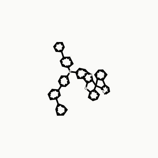 c1ccc(-c2ccc(N(c3ccc(-c4cccc(-c5ccccc5)c4)cc3)c3ccc4sc5c(c4c3)Oc3ccccc3C53c4ccccc4-c4ccccc43)cc2)cc1